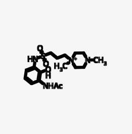 CC(=O)Nc1cccc(NS(=O)(=O)CCC[N+]2(C)CCN(C)CC2)c1O